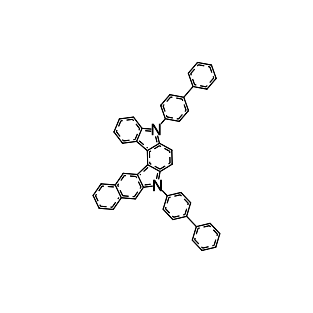 c1ccc(-c2ccc(-n3c4ccccc4c4c5c6cc7ccccc7cc6n(-c6ccc(-c7ccccc7)cc6)c5ccc43)cc2)cc1